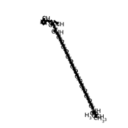 C#CCN(C/C=C/c1ccccc1C)C(=O)CCCC(=O)NCCOCCOCCOCCOCCOCCOCCOCCOCCOCCOCCOCCOCCOCCOCCOCCNC(=O)OC(C)(C)C